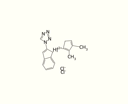 CC1=CC[C]([Hf+2][CH]2C(n3cnnn3)=Cc3ccccc32)=C1C.[Cl-].[Cl-]